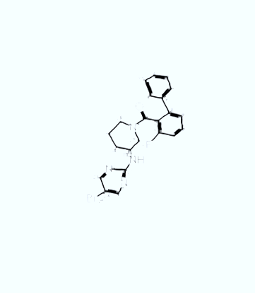 O=C(c1c(F)cccc1-c1ccccc1)N1CCC[C@@H](Nc2ncc(Br)cn2)C1